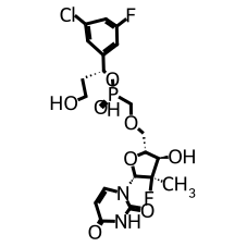 C[C@@]1(F)[C@H](O)[C@@H](COC[PH](=O)O[C@H](CCO)c2cc(F)cc(Cl)c2)O[C@H]1n1ccc(=O)[nH]c1=O